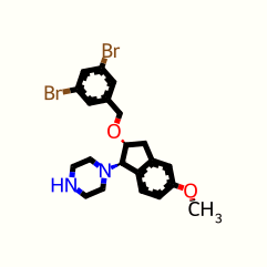 COc1ccc2c(c1)C[C@@H](OCc1cc(Br)cc(Br)c1)[C@@H]2N1CCNCC1